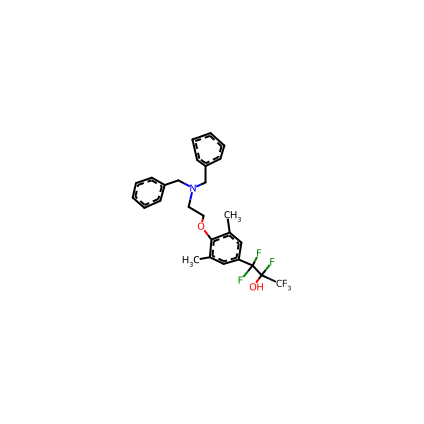 Cc1cc(C(F)(F)C(O)(F)C(F)(F)F)cc(C)c1OCCN(Cc1ccccc1)Cc1ccccc1